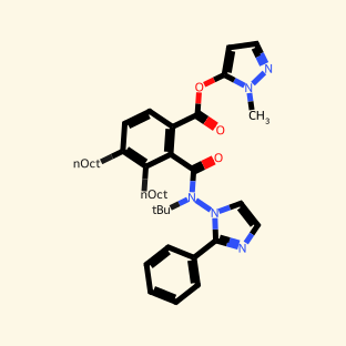 CCCCCCCCc1ccc(C(=O)Oc2ccnn2C)c(C(=O)N(n2ccnc2-c2ccccc2)C(C)(C)C)c1CCCCCCCC